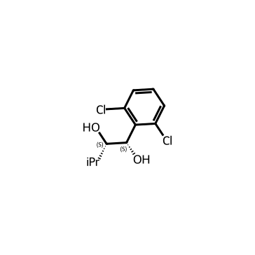 CC(C)[C@H](O)[C@@H](O)c1c(Cl)cccc1Cl